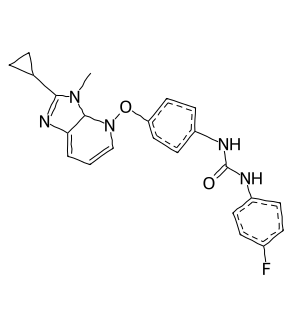 CN1C(C2CC2)=NC2=CC=CN(Oc3ccc(NC(=O)Nc4ccc(F)cc4)cc3)C21